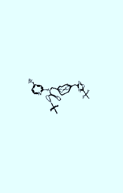 CC(C)(C)OC(=O)N(CC12CCC(c3noc(C(C)(F)F)n3)(CC1)CC2)c1cc(Br)ccn1